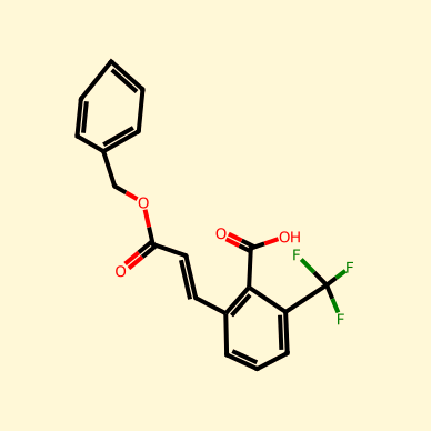 O=C(C=Cc1cccc(C(F)(F)F)c1C(=O)O)OCc1ccccc1